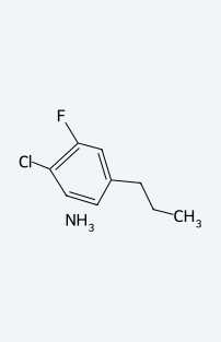 CCCc1ccc(Cl)c(F)c1.N